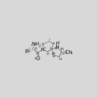 CC(C)[C@H](N)C(=O)N1CCCC2(C1)N[C@H](C#N)CS2